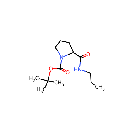 CCCNC(=O)C1CCCN1C(=O)OC(C)(C)C